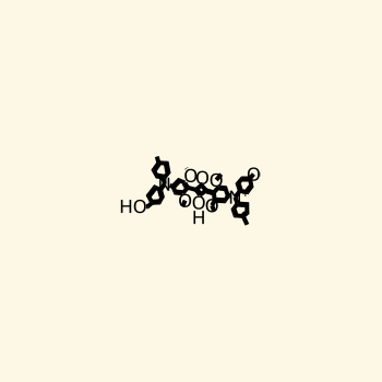 COC1=CC(=[N+](c2ccc(C)cc2)c2ccc(OC)cc2)C=C(OC)C1=C1C(=O)C(c2c(OC)cc(N(c3ccc(C)cc3)c3ccc(CO)cc3)cc2OC)=C1O